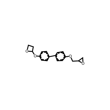 c1cc(-c2ccc(OC3CCO3)cc2)ccc1OCC1CO1